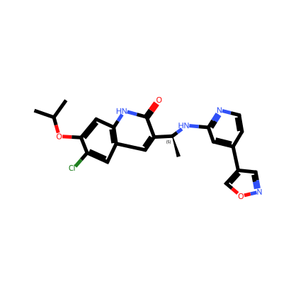 CC(C)Oc1cc2[nH]c(=O)c([C@H](C)Nc3cc(-c4cnoc4)ccn3)cc2cc1Cl